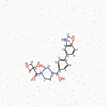 O=C(N1CCN(C(O)c2ccc(-c3ccc4c(c3)NCO4)cc2)CC1)C1(O)COC1